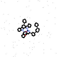 c1ccc(-c2cccc(-c3cccc(-c4cc(-c5ccccc5)nc(-n5c6ccccc6c6c(-c7ccccc7)cc7c8ccccc8n(-c8ccccc8)c7c65)n4)c3)c2)cc1